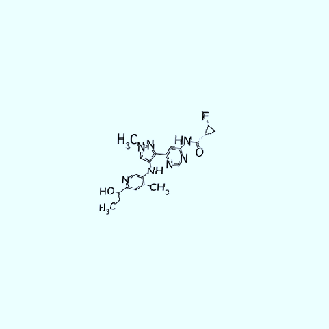 CCC(O)c1cc(C)c(Nc2cn(C)nc2-c2cc(NC(=O)[C@H]3C[C@H]3F)ncn2)cn1